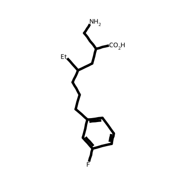 CCC(CCCc1cccc(F)c1)CC(CN)C(=O)O